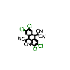 N#CC(C#N)=c1c2cc(Cl)c(Cl)cc2c(=C(C#N)C#N)c2cc(Cl)c(Cl)cc12